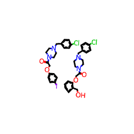 O=C(COc1ccc(I)cc1)N1CCN(Cc2ccc(Cl)cc2)CC1.O=C(COc1ccccc1CO)N1CCN(Cc2ccc(Cl)cc2)CC1